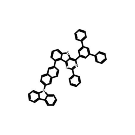 c1ccc(-c2cc(-c3ccccc3)cc(-c3nc(-c4ccccc4)nc4c3sc3cccc(-c5ccc6cc(-n7c8ccccc8c8ccccc87)ccc6c5)c34)c2)cc1